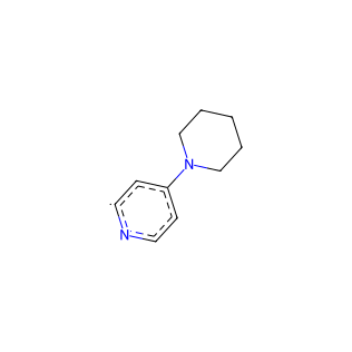 [c]1cc(N2CCCCC2)ccn1